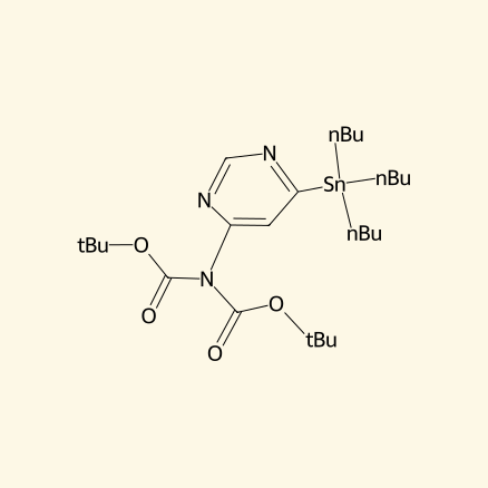 CCC[CH2][Sn]([CH2]CCC)([CH2]CCC)[c]1cc(N(C(=O)OC(C)(C)C)C(=O)OC(C)(C)C)ncn1